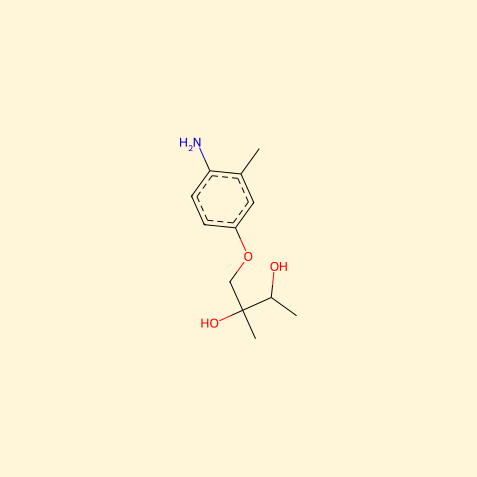 Cc1cc(OCC(C)(O)C(C)O)ccc1N